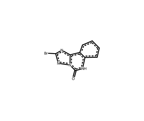 O=c1[nH]c2ccccc2c2nc(Br)nn12